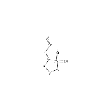 C=CCC1CCCS1(=O)=O